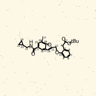 CC(C)(C)OC(=O)Cc1ccccc1OCc1cc2cc(C(=O)NCC3CC3)cc(I)c2o1